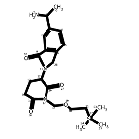 CC(N)c1ccc2c(c1)C(=O)N(C1CCC(=O)N(COCC[Si](C)(C)C)C1=O)C2